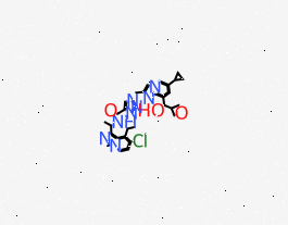 CCc1c(Cl)ccn2cnc(C(C)NC(=O)c3cn(Cc4cn5cc(C6CC6)cc(C(O)C6COC6)c5n4)nn3)c12